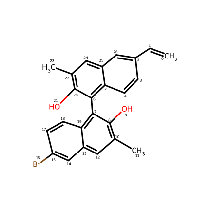 C=Cc1ccc2c(-c3c(O)c(C)cc4cc(Br)ccc34)c(O)c(C)cc2c1